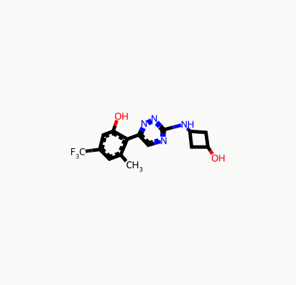 Cc1cc(C(F)(F)F)cc(O)c1-c1cnc(NC2CC(O)C2)nn1